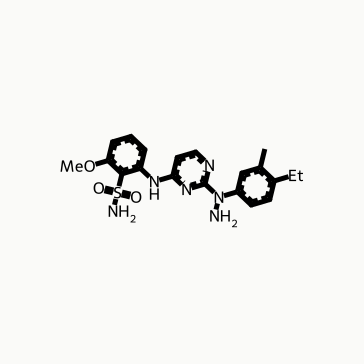 CCc1ccc(N(N)c2nccc(Nc3cccc(OC)c3S(N)(=O)=O)n2)cc1C